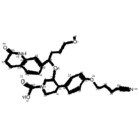 COCCCC(OC1CN(C(=O)O)CCC1c1ccc(OCCCC#N)cc1)c1ccc2c(c1)NC(=O)CC2